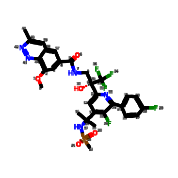 COc1cc(C(=O)NC[C@](O)(c2cc(C(C)(C)NS(C)(=O)=O)c(F)c(-c3ccc(F)cc3)n2)C(F)(F)F)cc2cc(C)nnc12